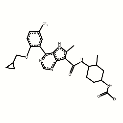 CCC(=O)NC1CCC(NC(=O)c2c(C)[nH]c3c(-c4cc(C(F)(F)F)ccc4OCC4CC4)ncnc23)C(C)C1